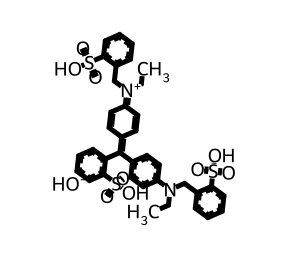 CCN(Cc1ccccc1S(=O)(=O)O)c1ccc(C(=C2C=CC(=[N+](CC)Cc3ccccc3S(=O)(=O)O)C=C2)c2ccccc2S(=O)(=O)O)cc1.[OH-]